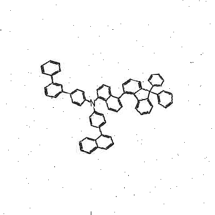 c1ccc(-c2cccc(-c3ccc(N(c4ccc(-c5cccc6ccccc56)cc4)c4cccc5c(-c6cccc7c6-c6ccccc6C7(c6ccccc6)c6ccccc6)cccc45)cc3)c2)cc1